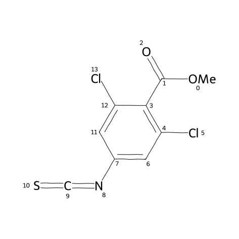 COC(=O)c1c(Cl)cc(N=C=S)cc1Cl